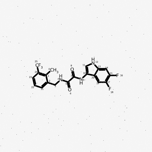 Cc1c(CNC(=O)C(=O)Nc2c[nH]c3cc(F)c(F)cc23)cccc1C(F)(F)F